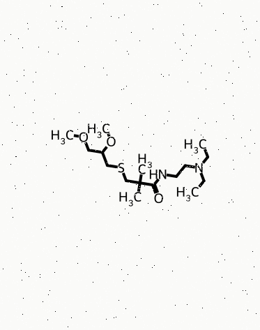 CCN(CC)CCNC(=O)C(C)(C)CSCC(COC)OC